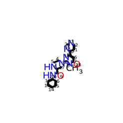 Cn1c(N2CCNC(C(=O)Nc3ccccc3)C2)nc(-c2ccncn2)cc1=O